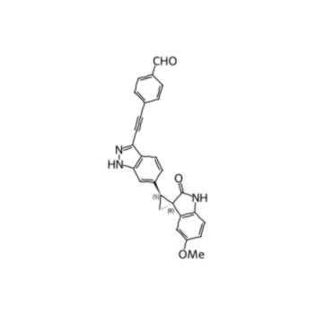 COc1ccc2c(c1)[C@]1(C[C@H]1c1ccc3c(C#Cc4ccc(C=O)cc4)n[nH]c3c1)C(=O)N2